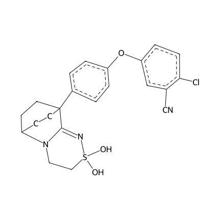 N#Cc1cc(Oc2ccc(C34CCC(CC3)N3CCS(O)(O)N=C34)cc2)ccc1Cl